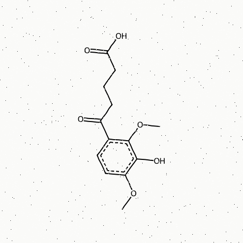 COc1ccc(C(=O)CCCC(=O)O)c(OC)c1O